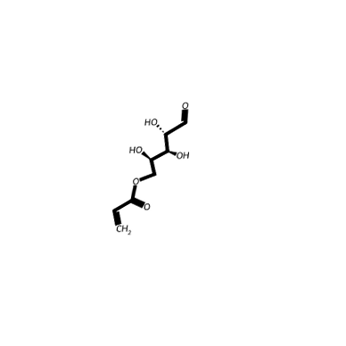 C=CC(=O)OC[C@@H](O)[C@H](O)[C@H](O)C=O